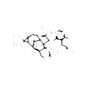 C=CCc1c(Cl)ncnc1O[C@H]1C(C)=C[C@]23C(=O)[C@@H](C=C4COC(C)(C)O[C@H]4[C@]12O)C1[C@@H](C[C@H]3C)C1(C)C